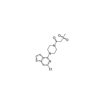 CCc1cc2sccc2c(N2CCN(C(=O)CS(C)(=O)=O)CC2)n1